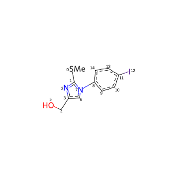 CSc1nc(CO)cn1-c1ccc(I)cc1